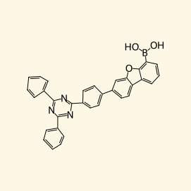 OB(O)c1cccc2c1oc1cc(-c3ccc(-c4nc(-c5ccccc5)nc(-c5ccccc5)n4)cc3)ccc12